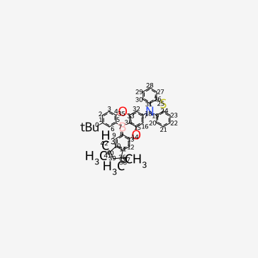 CC(C)(C)c1ccc2c(c1)B1c3cc4c(cc3Oc3cc(N5c6ccccc6Sc6ccccc65)cc(c31)O2)C(C)(C)CC4(C)C